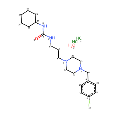 Cl.Cl.O.O=C(NCCCN1CCN(Cc2ccc(F)cc2)CC1)NC1CCCCC1